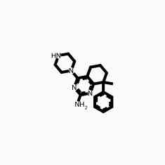 CC1(c2ccccc2)CCCc2c(N3CCNCC3)nc(N)nc21